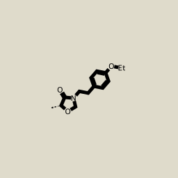 CCOc1ccc(CCN2CO[C@H](C)C2=O)cc1